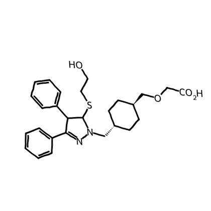 O=C(O)COC[C@H]1CC[C@H](CN2N=C(c3ccccc3)C(c3ccccc3)C2SCCO)CC1